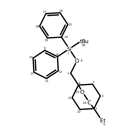 CCC12CCC(CO[Si](c3ccccc3)(c3ccccc3)C(C)(C)C)(CC1)OC2